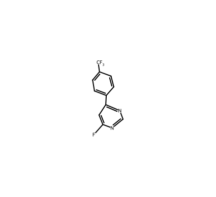 Fc1cc(-c2ccc(C(F)(F)F)cc2)ncn1